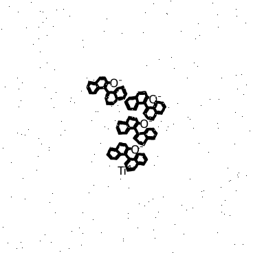 [O-]c1ccc2ccccc2c1-c1cccc2ccccc12.[O-]c1ccc2ccccc2c1-c1cccc2ccccc12.[O-]c1ccc2ccccc2c1-c1cccc2ccccc12.[O-]c1ccc2ccccc2c1-c1cccc2ccccc12.[Ti+4]